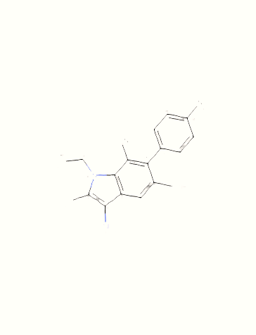 CCCCCc1cc2c(N)c(C(=O)OCC)n(CC(=O)OCC)c2c(C#N)c1-c1ccc([N+](=O)[O-])cc1